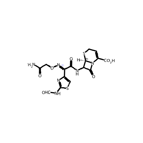 NC(=O)CO/N=C(/C(=O)NC1C(=O)N2C(C(=O)O)=CCS[C@H]12)c1csc(NC=O)n1